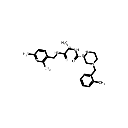 Cc1ccccc1CN1CCN[C@@H](C(=O)N[C@@H](C)C(=O)NCc2ccc(N)nc2C)C1